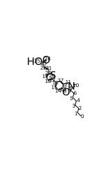 CCCCCCCC(=O)N(C)Cc1cccc(-c2ccc(/C=C/C(=O)O)s2)c1